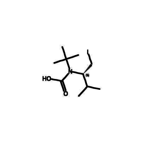 CC(C)[C@@H](CI)N(C(=O)O)C(C)(C)C